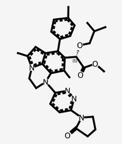 COC(=O)[C@@H](OCC(C)C)c1c(C)c2c3c(cc(C)n3CCN2c2ccc(N3CCCC3=O)nn2)c1-c1ccc(C)cc1